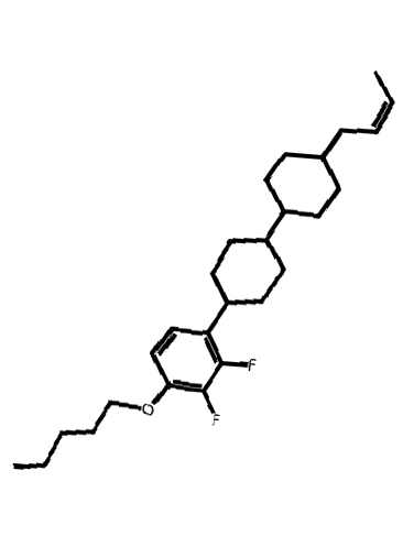 C/C=C\CC1CCC(C2CCC(c3ccc(OCCCCC)c(F)c3F)CC2)CC1